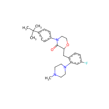 CN1CCN(c2cc(F)ccc2CC2OCCN(c3ccc(C(C)(C)C)cc3)C2=O)CC1